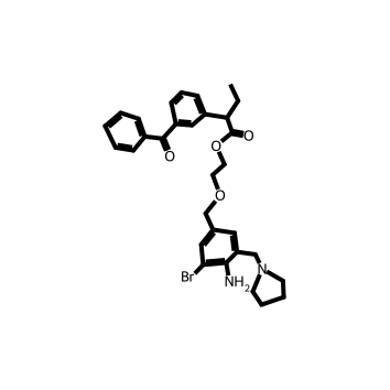 CCC(C(=O)OCCOCc1cc(Br)c(N)c(CN2CCCC2)c1)c1cccc(C(=O)c2ccccc2)c1